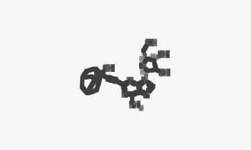 Nc1nc(C#CC2(O)C3CC4CC(C3)CC2C4)nc2c1ncn2[C@@H]1O[C@H](CO)[C@H](O)C1O